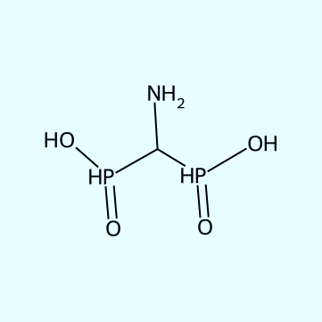 NC([PH](=O)O)[PH](=O)O